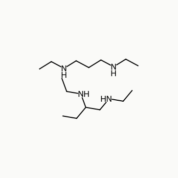 CCNCC(CC)NCC.CCNCCCNCC